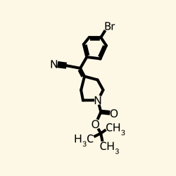 CC(C)(C)OC(=O)N1CCC(=C(C#N)c2ccc(Br)cc2)CC1